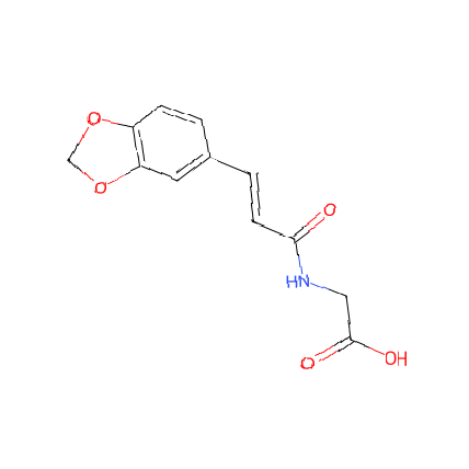 O=C(O)CNC(=O)C=Cc1ccc2c(c1)OCO2